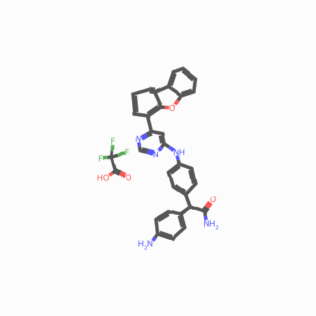 NC(=O)C(c1ccc(N)cc1)c1ccc(Nc2cc(-c3cccc4c3oc3ccccc34)ncn2)cc1.O=C(O)C(F)(F)F